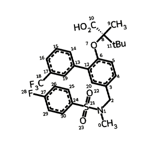 CN(Cc1ccc(O[C@](C)(C(=O)O)C(C)(C)C)c(-c2cccc(C(F)(F)F)c2)c1)S(=O)(=O)c1ccc(F)cc1